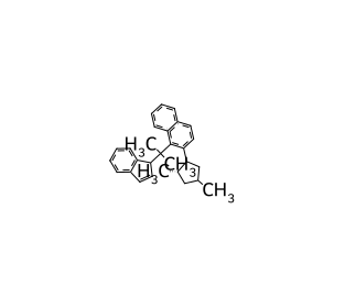 CC1CC(c2ccc3ccccc3c2C(C)(C)C2C=Cc3ccccc32)[C@@H](C)C1